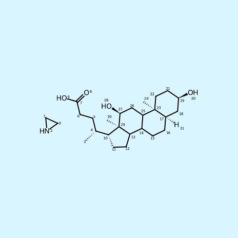 C1CN1.C[C@H](CCC(=O)O)[C@H]1CCC2C3CC[C@@H]4C[C@H](O)CC[C@]4(C)C3C[C@H](O)[C@@]21C